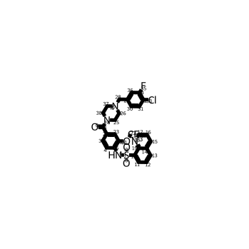 O=C(c1ccc(NS(=O)(=O)c2cccc3cccnc23)c(OC(F)(F)F)c1)N1CCN(Cc2ccc(Cl)c(F)c2)CC1